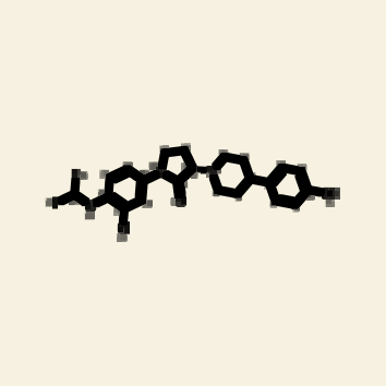 O=C1[C@@H](N2CCC(c3ccc(O)cc3)CC2)CCN1c1ccc(OC(F)F)c(Cl)c1